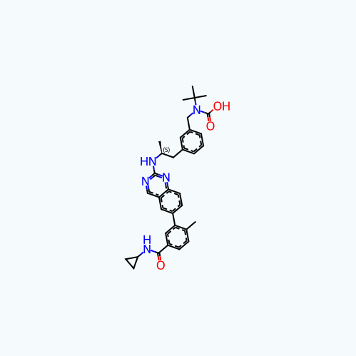 Cc1ccc(C(=O)NC2CC2)cc1-c1ccc2nc(N[C@@H](C)Cc3cccc(CN(C(=O)O)C(C)(C)C)c3)ncc2c1